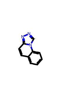 [c]1nnc2ccc3ccccc3n12